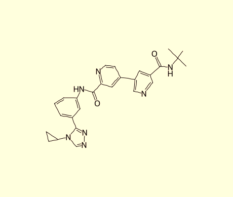 CC(C)(C)NC(=O)c1cncc(-c2ccnc(C(=O)Nc3cccc(-c4nncn4C4CC4)c3)c2)c1